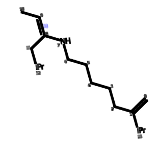 C=C(CCCCCN/C(=C/C)CC(C)C)C(C)C